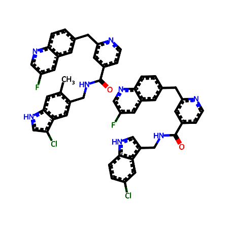 Cc1cc2[nH]cc(Cl)c2cc1CNC(=O)c1ccnc(Cc2ccc3ncc(F)cc3c2)c1.O=C(NCc1c[nH]c2ccc(Cl)cc12)c1ccnc(Cc2ccc3ncc(F)cc3c2)c1